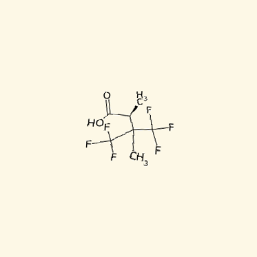 C[C@H](C(=O)O)C(C)(C(F)(F)F)C(F)(F)F